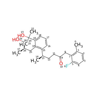 Cc1cccc(F)c1CC(=O)CC[C@@H](C)c1cccc(C(C)(C)O)c1C[C@@H](C)CO